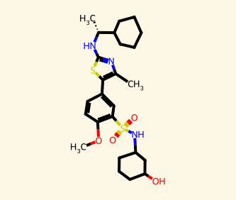 COc1ccc(-c2sc(N[C@H](C)C3CCCCC3)nc2C)cc1S(=O)(=O)NC1CCCC(O)C1